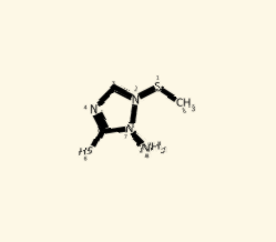 CSN1CN=C(S)N1N